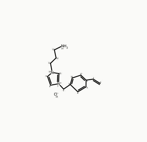 C=Cc1ccc(C[n+]2ccn(CCCN)c2)cc1.[Cl-]